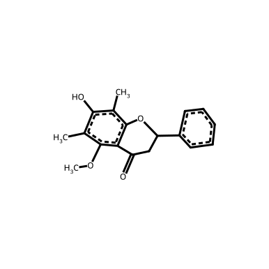 COc1c(C)c(O)c(C)c2c1C(=O)CC(c1ccccc1)O2